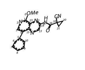 COc1ncc(-c2ccccc2)c2ncc(NC(=O)C3(C#N)CC3)nc12